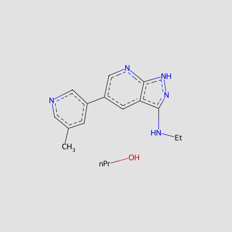 CCCO.CCNc1n[nH]c2ncc(-c3cncc(C)c3)cc12